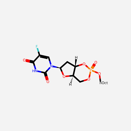 CCCCCCCCOP1(=O)OC[C@H]2O[C@@H](n3cc(F)c(=O)[nH]c3=O)C[C@@H]2O1